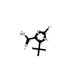 CC(C)(C)c1nc(F)sc1C(=O)O